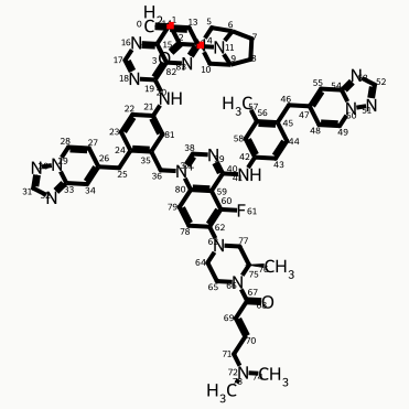 C=CC(=O)N1CC2CCC(C1)N2c1ccc2ncnc(Nc3ccc(Cc4ccn5ncnc5c4)c(C[n+]4cnc(Nc5ccc(Cc6ccn7ncnc7c6)c(C)c5)c5c(F)c(N6CCN(C(=O)/C=C/CN(C)C)[C@H](C)C6)ccc54)c3)c2n1